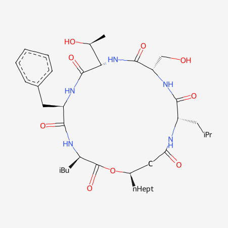 CCCCCCC[C@@H]1CC(=O)N[C@@H](CC(C)C)C(=O)N[C@@H](CO)C(=O)N[C@@H]([C@H](C)O)C(=O)N[C@H](Cc2ccccc2)C(=O)N[C@H](C(C)CC)C(=O)O1